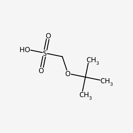 CC(C)(C)OCS(=O)(=O)O